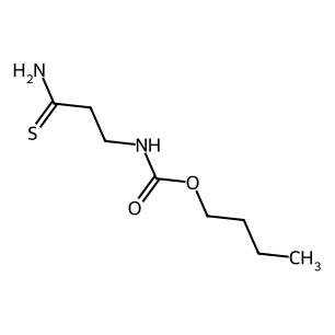 CCCCOC(=O)NCCC(N)=S